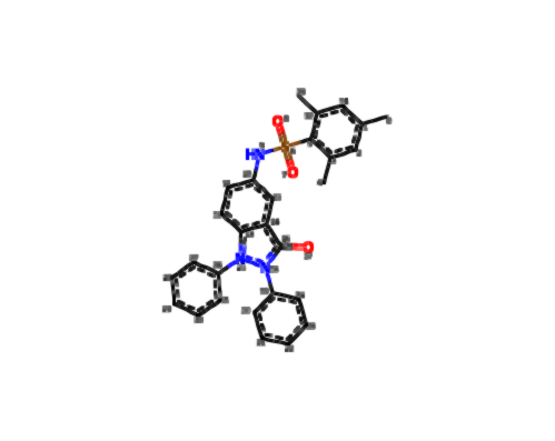 Cc1cc(C)c(S(=O)(=O)Nc2ccc3c(c2)c(=O)n(-c2ccccc2)n3-c2ccccc2)c(C)c1